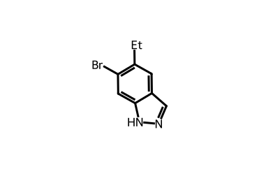 CCc1cc2cn[nH]c2cc1Br